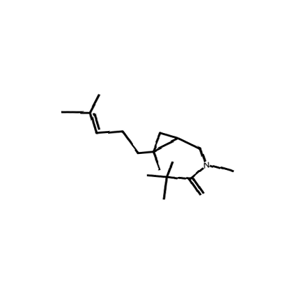 C=C(N(C)CC1CC1(C)CCC=C(C)C)C(C)(C)C